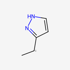 C[C]c1cc[nH]n1